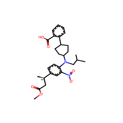 COC(=O)C[C@@H](C)c1ccc(N(CC(C)C)C2CCC(c3ccccc3C(=O)O)CC2)c([N+](=O)[O-])c1